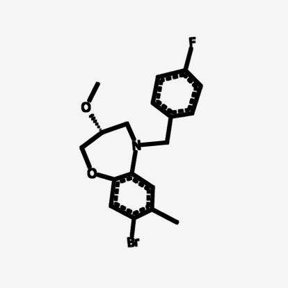 CO[C@H]1COc2cc(Br)c(C)cc2N(Cc2ccc(F)cc2)C1